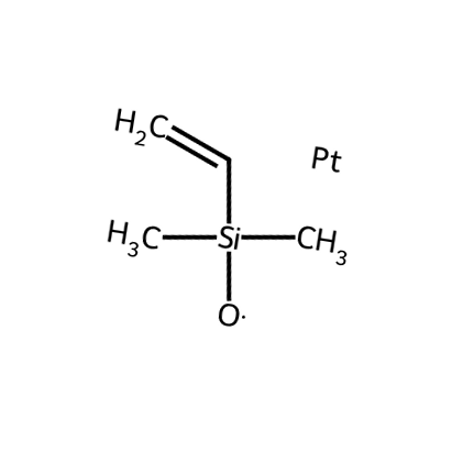 C=C[Si](C)(C)[O].[Pt]